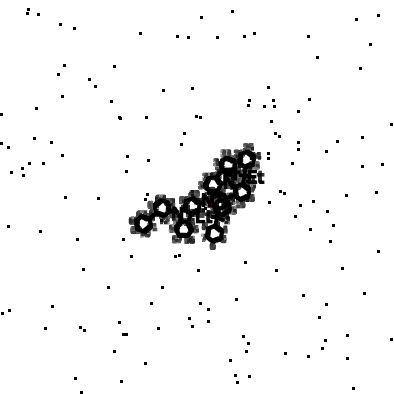 CCC(C)(c1ccccc1)c1cccc(-c2cccc(C(CC)(CC)c3ccccc3)c2-n2c3ccccc3c3ccc4c(c5ccccc5n4-c4ccc5c(c4)c4ccccc4n5-c4cccc(-c5ccccc5)c4)c32)c1